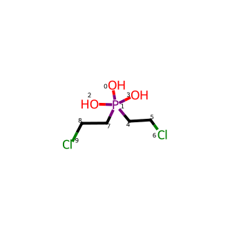 OP(O)(O)(CCCl)CCCl